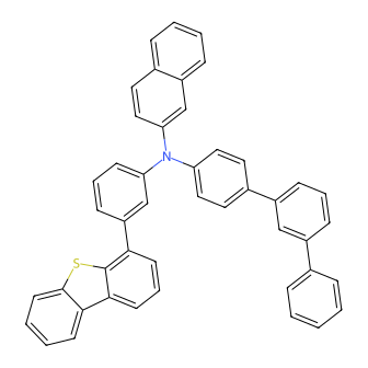 c1ccc(-c2cccc(-c3ccc(N(c4cccc(-c5cccc6c5sc5ccccc56)c4)c4ccc5ccccc5c4)cc3)c2)cc1